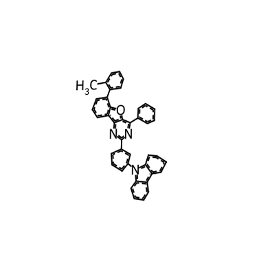 Cc1ccccc1-c1cccc2c1oc1c(-c3ccccc3)nc(-c3cccc(-n4c5ccccc5c5ccccc54)c3)nc12